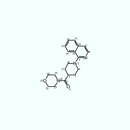 O=C(C1CCN(c2nccc3ccccc23)CC1)N1CCOCC1